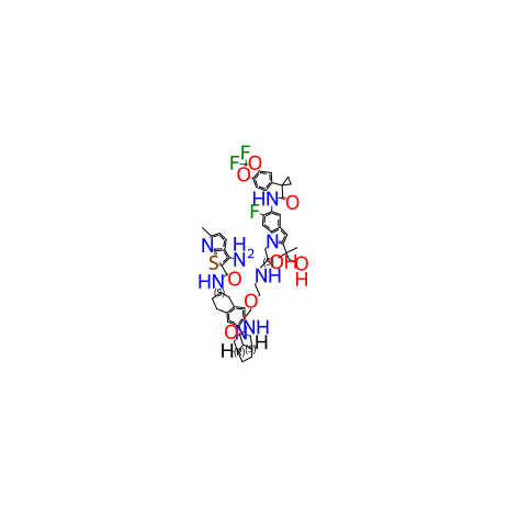 Cc1ccc2c(N)c(C(=O)N[C@H]3CCc4cc(N5C[C@H]6CC[C@@H](C5)C6C(=O)NCCOCCNC[C@H](O)Cn5c(C(C)(C)CO)cc6cc(NC(=O)C7(c8ccc9c(c8)OC(F)(F)O9)CC7)c(F)cc65)ccc4C3)sc2n1